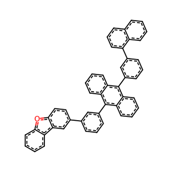 c1cc(-c2ccc3oc4ccccc4c3c2)cc(-c2c3ccccc3c(-c3cccc(-c4cccc5ccccc45)c3)c3ccccc23)c1